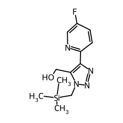 C[Si](C)(C)Cn1nnc(-c2ccc(F)cn2)c1CO